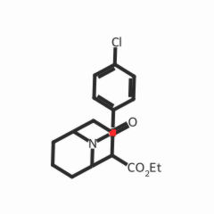 CCOC(=O)C1C(=O)CC2CCCC1N2Sc1ccc(Cl)cc1